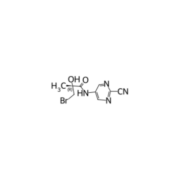 C[C@](O)(CBr)C(=O)Nc1cnc(C#N)nc1